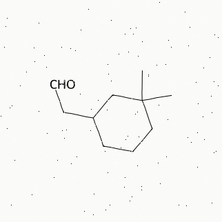 CC1(C)CCCC(CC=O)C1